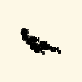 CCCCOC(=O)N1CCC(N(C)c2ccc(-c3ccc(-c4cnn(C5CCCCO5)c4)c4cc[nH]c34)nn2)CC1C